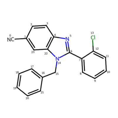 N#Cc1ccc2nc(-c3ccccc3Cl)n(Cc3ccccc3)c2c1